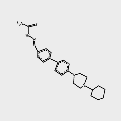 NC(=S)NN=Cc1ccc(-c2ccc(N3CCN(C4CCCCC4)CC3)nc2)cc1